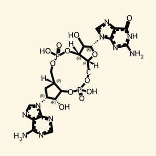 Nc1nc2c(ncn2[C@@H]2O[C@@H]3COP(=O)(O)OC4[C@@H](COP(=O)(O)O[C@@H]3C2O)C[C@@H](n2cnc3c(N)ncnc32)[C@H]4O)c(=O)[nH]1